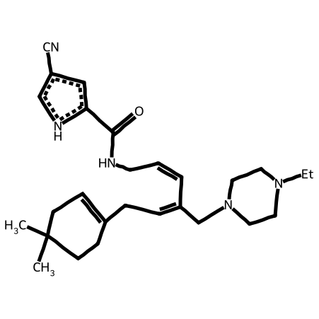 CCN1CCN(CC(/C=C\CNC(=O)c2cc(C#N)c[nH]2)=C/CC2=CCC(C)(C)CC2)CC1